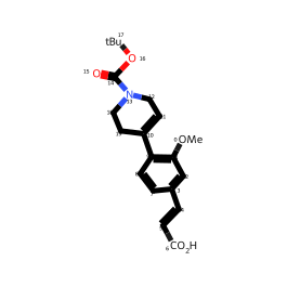 COc1cc(/C=C/C(=O)O)ccc1C1=CCN(C(=O)OC(C)(C)C)CC1